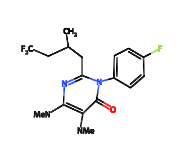 CNc1nc(CC(C)CC(F)(F)F)n(-c2ccc(F)cc2)c(=O)c1NC